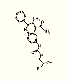 CCC(O)CNC(=O)Nc1ccc2nc(-c3ccccc3)c(C)c(C(N)=O)c2c1